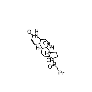 CC(C)CC(=O)C1CC[C@H]2[C@@H]3CCC4NC(=O)C=C[C@]4(C)[C@@H]3CC[C@]12C